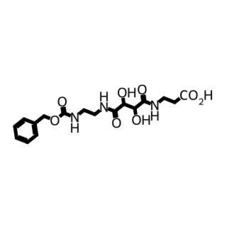 O=C(O)CCNC(=O)C(O)C(O)C(=O)NCCNC(=O)OCc1ccccc1